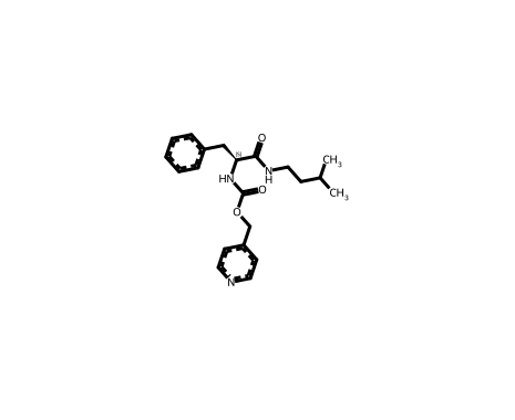 CC(C)CCNC(=O)[C@H](Cc1ccccc1)NC(=O)OCc1ccncc1